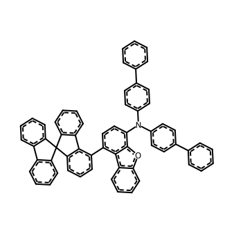 c1ccc(-c2ccc(N(c3ccc(-c4ccccc4)cc3)c3ccc(-c4cccc5c4-c4ccccc4C54c5ccccc5-c5ccccc54)c4c3oc3ccccc34)cc2)cc1